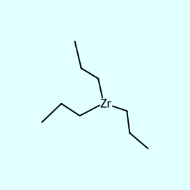 CC[CH2][Zr]([CH2]CC)[CH2]CC